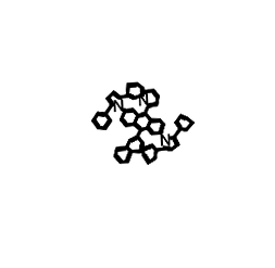 C1=CCCC(c2ccc(C3C=CC=CC3)n2-c2ccc3c(-c4ccccn4)c4cc(-n5c(-c6ccccc6)ccc5-c5ccccc5)ccc4c(-c4ccc5ccccc5c4)c3c2)=C1